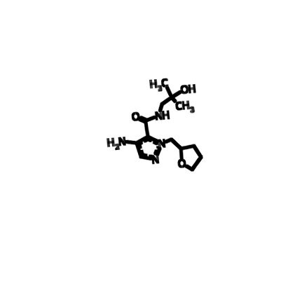 CC(C)(O)CNC(=O)c1c(N)cnn1CC1CCCO1